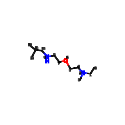 CCN(C)CCOCCNCC(C)C